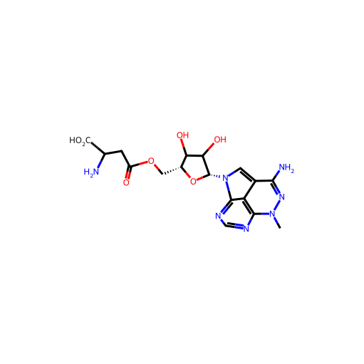 CN1N=C(N)c2cn([C@@H]3O[C@H](COC(=O)CC(N)C(=O)O)C(O)C3O)c3ncnc1c23